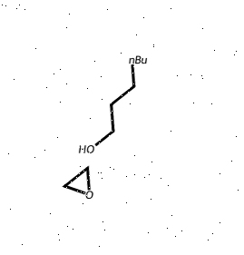 C1CO1.CCCCCCCO